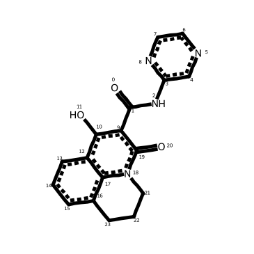 O=C(Nc1cnccn1)c1c(O)c2cccc3c2n(c1=O)CCC3